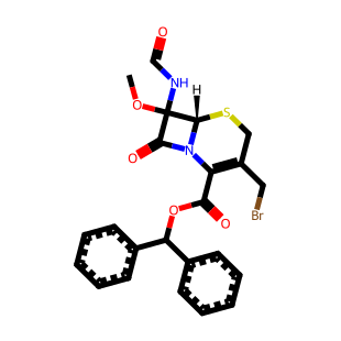 COC1(NC=O)C(=O)N2C(C(=O)OC(c3ccccc3)c3ccccc3)=C(CBr)CS[C@H]21